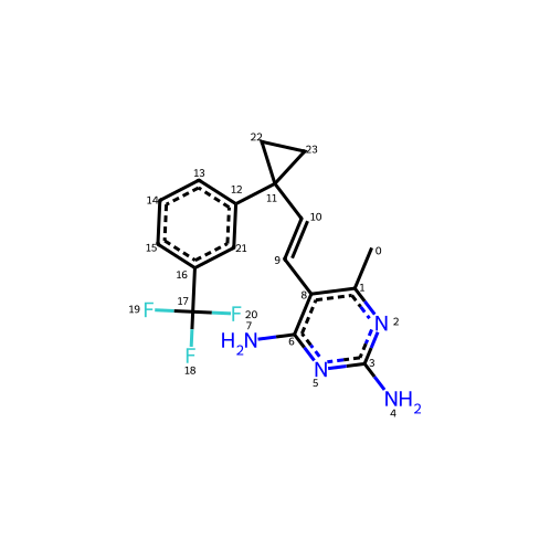 Cc1nc(N)nc(N)c1C=CC1(c2cccc(C(F)(F)F)c2)CC1